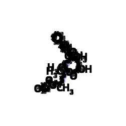 C/C(=C\C=C\C(C)COC(=O)N1CCC(=O)C1)[C@H]1OC(=O)C[C@@H](O)CC[C@](C)(O)[C@@H](OC(=O)N2CCN(C3CCCCCC3)CC2)/C=C/[C@@H]1C